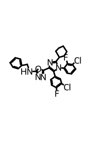 Fc1ccc(-c2c(-c3nnc(NCc4ccccc4)o3)nc(C3CCCCC3)n2-c2cccc(Cl)c2F)cc1Cl